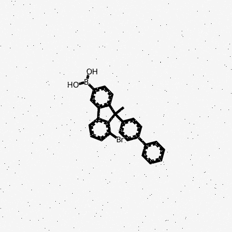 CC1(c2ccc(-c3ccccc3)cc2)c2ccc(B(O)O)cc2-c2cccc(Br)c21